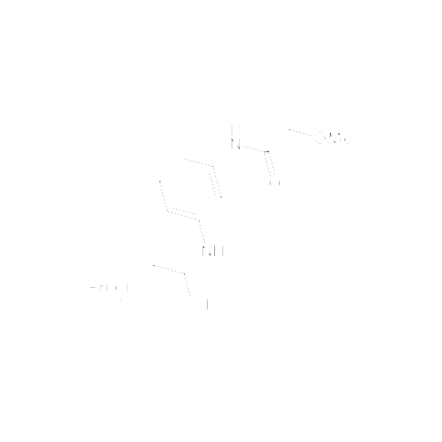 CCOC(=O)CC(C)Nc1cccc(NC(=O)COC)c1